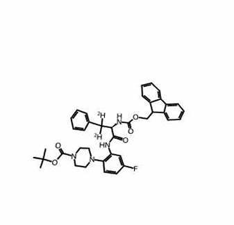 [2H]C([2H])(c1ccccc1)[C@@H](NC(=O)OCC1c2ccccc2-c2ccccc21)C(=O)Nc1cc(F)ccc1N1CCN(C(=O)OC(C)(C)C)CC1